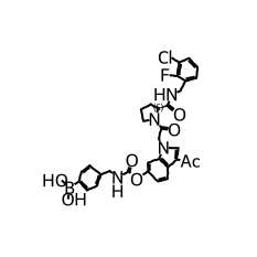 CC(=O)c1cn(CC(=O)N2CCC[C@H]2C(=O)NCc2cccc(Cl)c2F)c2cc(OC(=O)NCc3ccc(B(O)O)cc3)ccc12